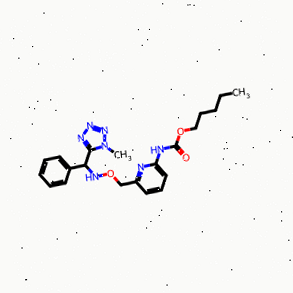 CCCCCOC(=O)Nc1cccc(CONC(c2ccccc2)c2nnnn2C)n1